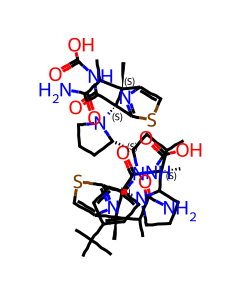 CC1C[C@@H](C2CCCN2[C@@]2(C(=O)NC(=O)O)c3nc(cs3)[C@@]2(C)C(C)C(N)=O)N(c2ccc(C(C)(C)C)cc2)[C@]1(C)C1CCCN1[C@@]1(C(=O)NC(=O)O)c2nc(cs2)[C@@]1(C)C(C)C(N)=O